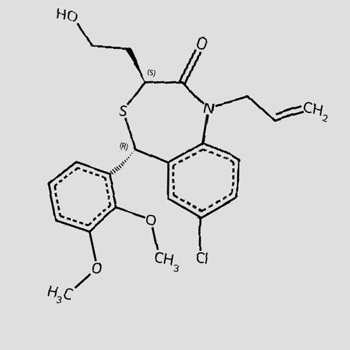 C=CCN1C(=O)[C@H](CCO)S[C@@H](c2cccc(OC)c2OC)c2cc(Cl)ccc21